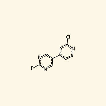 Fc1ncc(-c2ccnc(Cl)c2)cn1